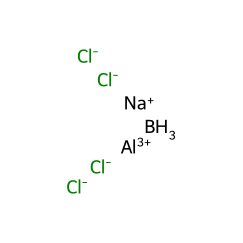 B.[Al+3].[Cl-].[Cl-].[Cl-].[Cl-].[Na+]